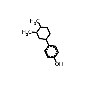 CC1CCC(c2ccc(O)cc2)CC1C